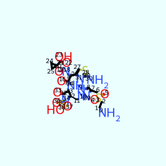 NCCS(=O)(=O)Cc1cnn(C[C@@H]2[C@H](NC(=O)/C(=N\OC3(C(=O)O)CC3)c3csc(N)n3)C(=O)N2S(=O)(=O)O)n1